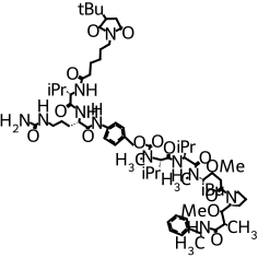 CC[C@H](C)[C@@H]([C@@H](CC(=O)N1CCC[C@H]1[C@H](OC)[C@@H](C)C(=O)N[C@H](C)c1ccccc1)OC)N(C)C(=O)[C@@H](NC(=O)[C@H](C(C)C)N(C)C(=O)OCc1ccc(NC(=O)[C@H](CCCNC(N)=O)NC(=O)[C@@H](NC(=O)CCCCCN2C(=O)CC(C(C)(C)C)C2=O)C(C)C)cc1)C(C)C